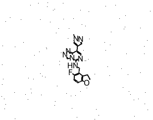 Cn1cc(-c2cnc(NCc3c(F)ccc4c3CCO4)n3cnnc23)cn1